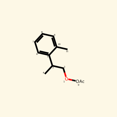 CC(=O)OOCC(C)c1ccccc1C